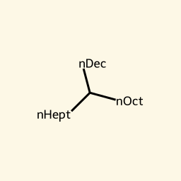 [CH2]CCCCCCC(CCCCCCCC)CCCCCCCCCC